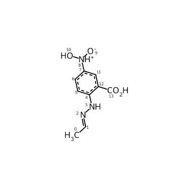 C/C=N/Nc1ccc([NH+]([O-])O)cc1C(=O)O